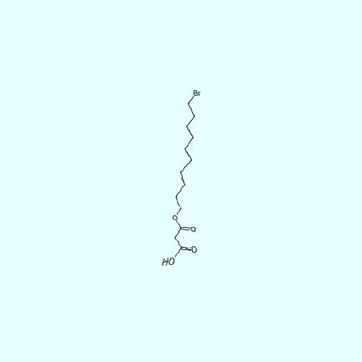 O=C(O)CC(=O)OCCCCCCCCCCBr